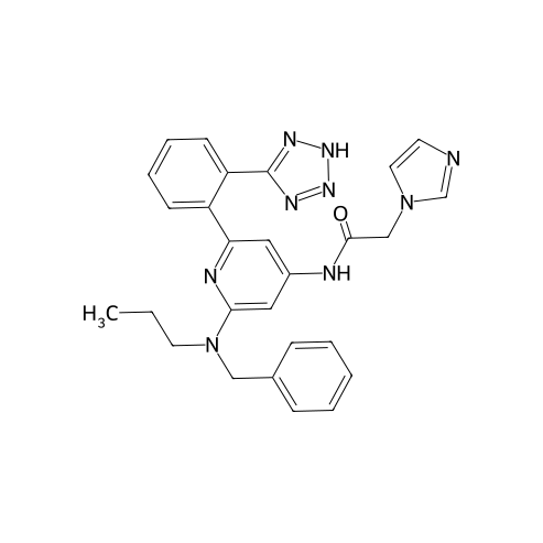 CCCN(Cc1ccccc1)c1cc(NC(=O)Cn2ccnc2)cc(-c2ccccc2-c2nn[nH]n2)n1